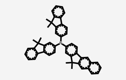 CC1(C)c2ccccc2-c2ccc(N(c3ccc4c(c3)C(C)(C)c3ccccc3-4)c3ccc4c(c3)C(C)(C)c3cc5ccccc5cc3-4)cc21